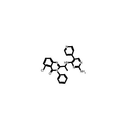 CC(Nc1nc(N)ncc1-c1ccncc1)c1nc2cccc(Cl)c2c(=O)n1-c1ccccc1